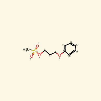 CS(=O)(=O)OCCCOc1ccccc1